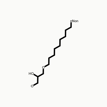 CCCCCCCCCCCCCCCCCCOCC(O)C[O]